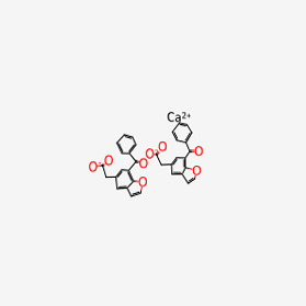 O=C([O-])Cc1cc(C(=O)c2ccccc2)c2occc2c1.O=C([O-])Cc1cc(C(=O)c2ccccc2)c2occc2c1.[Ca+2]